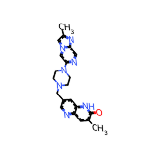 Cc1cn2cc(N3CCN(Cc4cnc5cc(C)c(=O)[nH]c5c4)CC3)ncc2n1